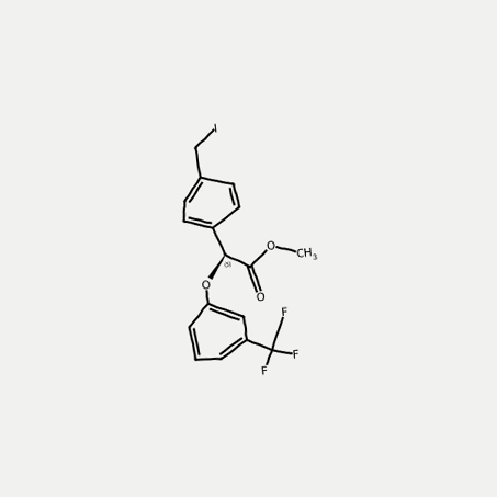 COC(=O)[C@@H](Oc1cccc(C(F)(F)F)c1)c1ccc(CI)cc1